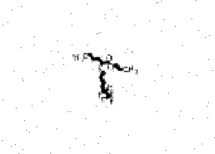 CCCCC(SCCCCC(F)(F)C(F)(F)F)C(=O)OCCC